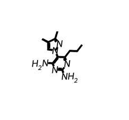 CCCc1nc(N)nc(N)c1-n1cc(C)c(C)n1